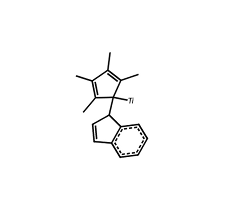 CC1=C(C)[C]([Ti])(C2C=Cc3ccccc32)C(C)=C1C